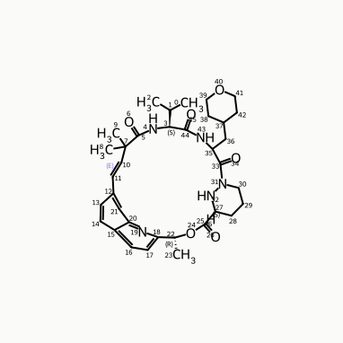 CC(C)[C@@H]1NC(=O)C(C)(C)/C=C/c2ccc3ccc(nc3c2)[C@@H](C)OC(=O)[C@@H]2CCCN(N2)C(=O)C(CC2CCOCC2)NC1=O